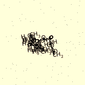 C=CC(=O)OCCOC(=O)NCC1CC2CCC1C2CCNC(=O)OCC(CCC[Si](C)(O[Si](C)(C)C)O[Si](C)(C)C)(CCC[Si](C)(O[Si](C)(C)C)O[Si](C)(C)C)COC(=O)NCC1CC2CCC1C2